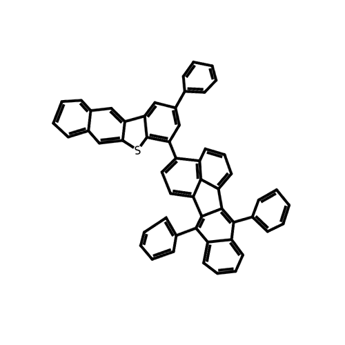 c1ccc(-c2cc(-c3ccc4c5c(cccc35)-c3c-4c(-c4ccccc4)c4ccccc4c3-c3ccccc3)c3sc4cc5ccccc5cc4c3c2)cc1